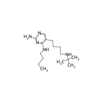 CCCCNc1nc(N)ncc1CCCCNC(C)(C)C